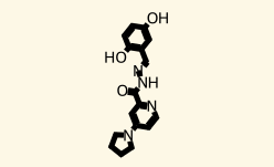 O=C(N/N=C/c1cc(O)ccc1O)c1cc(N2CCCC2)ccn1